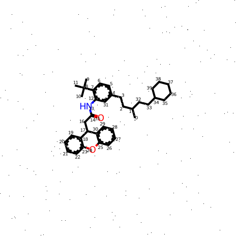 [CH2]C(CCc1ccc(C(C)(C)C)c(NC(=O)CC2c3ccccc3Oc3ccccc32)c1)CCC1CCCCC1